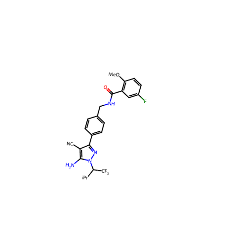 COc1ccc(F)cc1C(=O)NCc1ccc(-c2nn(C(C(C)C)C(F)(F)F)c(N)c2C#N)cc1